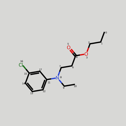 CCCOC(=O)CCN(CC)c1cccc(Cl)c1